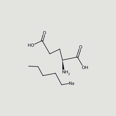 CCCC[CH2][Na].N[C@@H](CCC(=O)O)C(=O)O